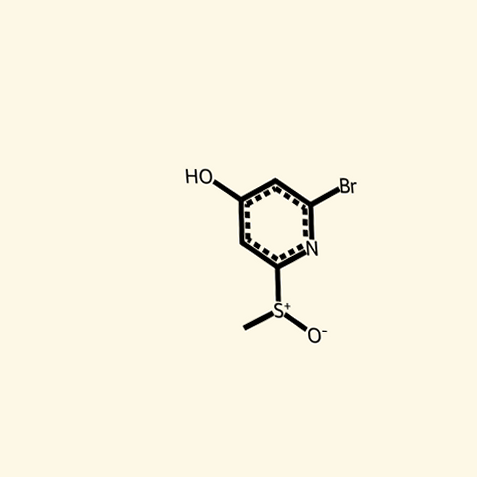 C[S+]([O-])c1cc(O)cc(Br)n1